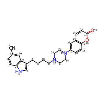 N#Cc1ccc2[nH]cc(CCCCN3CCN(c4ccc5oc(=O)ccc5c4)CC3)c2c1